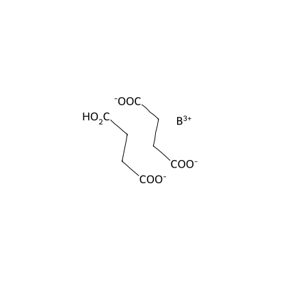 O=C([O-])CCC(=O)O.O=C([O-])CCC(=O)[O-].[B+3]